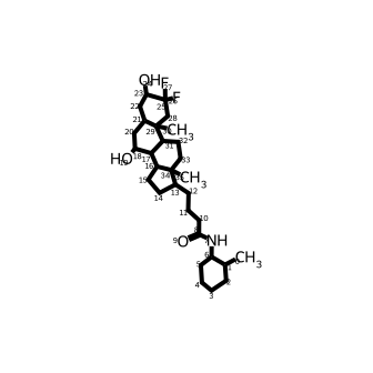 CC1CCCCC1NC(=O)CCCC1CCC2C3C(O)CC4CC(O)C(F)(F)CC4(C)C3CCC12C